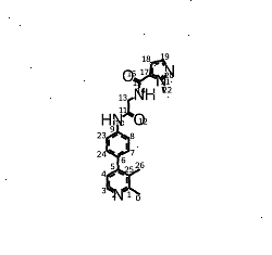 Cc1nccc(-c2ccc(NC(=O)CNC(=O)c3ccnn3C)cc2)c1C